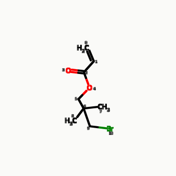 C=CC(=O)OCC(C)(C)CBr